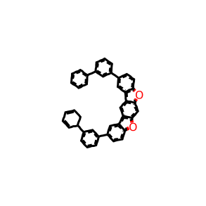 C1=CCC(c2cccc(-c3ccc4oc5cc6oc7ccc(-c8cccc(-c9ccccc9)c8)cc7c6cc5c4c3)c2)C=C1